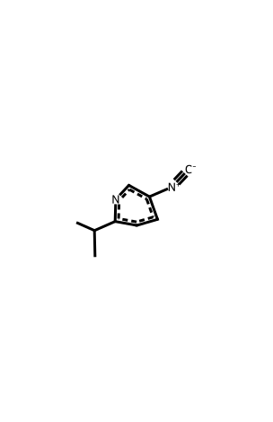 [C-]#[N+]c1ccc(C(C)C)nc1